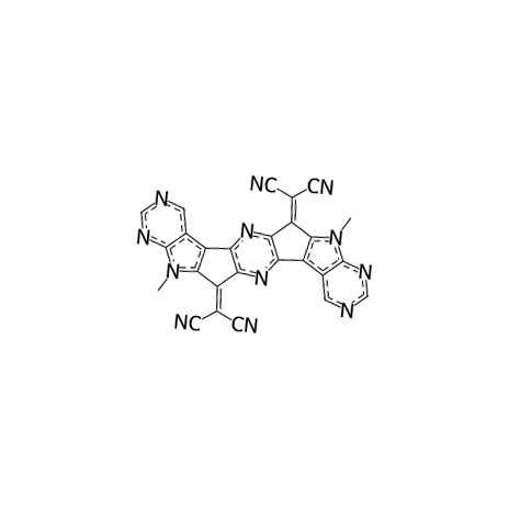 Cn1c2c(c3cncnc31)-c1nc3c(nc1C2=C(C#N)C#N)-c1c(n(C)c2ncncc12)C3=C(C#N)C#N